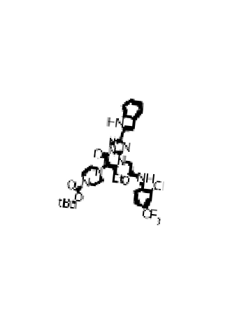 CCc1c(N2CCN(C(=O)OC(C)(C)C)CC2)c(=O)n2nc(-c3cc4ccccc4[nH]3)nc2n1CC(=O)Nc1ccc(C(F)(F)F)cc1Cl